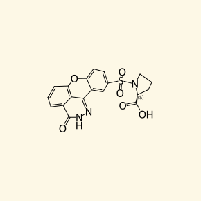 O=C(O)[C@@H]1CCCN1S(=O)(=O)c1ccc2c(c1)-c1n[nH]c(=O)c3cccc(c13)O2